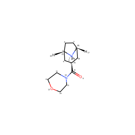 CC(C)N1[C@@H]2CC[C@H]1C[C@H](C(=O)N1CCOCC1)C2